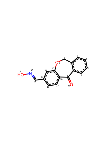 O=C1c2ccccc2COc2cc(C=NO)ccc21